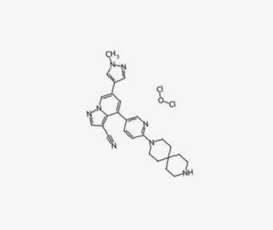 ClOCl.Cn1cc(-c2cc(-c3ccc(N4CCC5(CCNCC5)CC4)nc3)c3c(C#N)cnn3c2)cn1